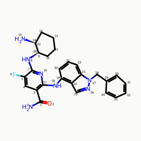 NC(=O)c1cc(F)c(N[C@@H]2CCCC[C@@H]2N)nc1Nc1cccc2c1cnn2Cc1ccccc1